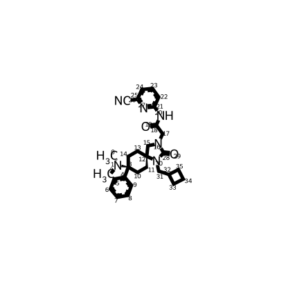 CN(C)[C@]1(c2ccccc2)CC[C@@]2(CC1)CN(CC(=O)Nc1cccc(C#N)n1)C(=O)N2CC1CCC1